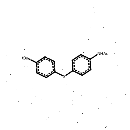 CC(=O)Nc1ccc(Sc2ccc(C(C)(C)C)cc2)cc1